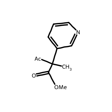 COC(=O)C(C)(C(C)=O)c1cccnc1